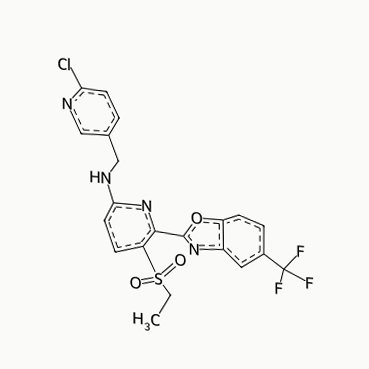 CCS(=O)(=O)c1ccc(NCc2ccc(Cl)nc2)nc1-c1nc2cc(C(F)(F)F)ccc2o1